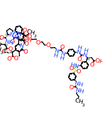 CCCNC(=O)Nc1cccc(S(=O)(=O)Nc2cccc([C@H](CC(=O)O)NC(=O)Nc3ccc(NC(=O)NCCOCCOCCOCC(=O)N[C@@H](CC(=O)O)C(=O)N4CCC[C@H]4C(=O)N[C@H](C(=O)O[C@]4(CC)C(=O)OCc5c4cc4n(c5=O)Cc5c-4nc4ccccc4c5CC)C(C)C)cc3)c2)c1